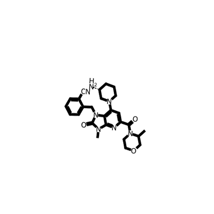 CC1COCCN1C(=O)c1cc(N2CCC[C@@H](N)C2)c2c(n1)n(C)c(=O)n2Cc1ccccc1C#N